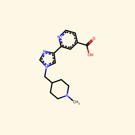 CN1CCC(Cn2cnc(-c3cc(C(=O)O)ccn3)c2)CC1